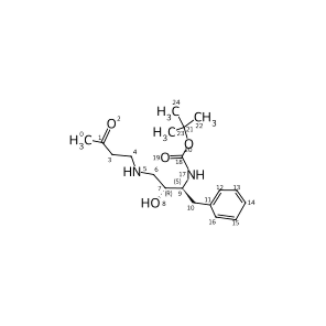 CC(=O)CCNC[C@@H](O)[C@H](Cc1ccccc1)NC(=O)OC(C)(C)C